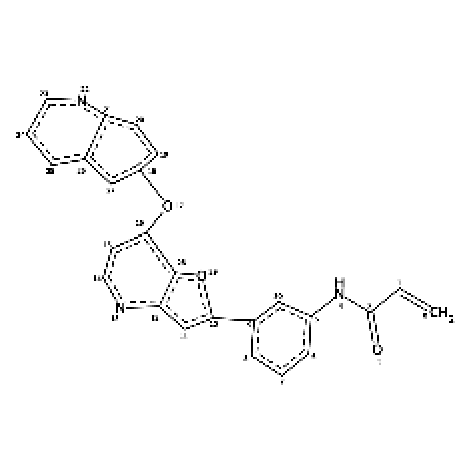 C=CC(=O)Nc1cccc(-c2cc3nccc(Oc4ccc5ncccc5c4)c3o2)c1